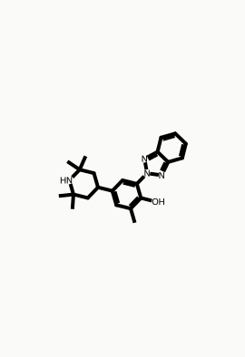 Cc1cc(C2CC(C)(C)NC(C)(C)C2)cc(-n2nc3ccccc3n2)c1O